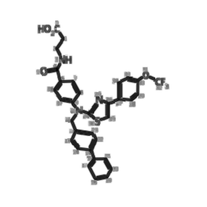 O=C(O)CCNC(=O)c1ccc(N(Cc2ccc(-c3ccccc3)cc2)c2nc(-c3ccc(OC(F)(F)F)cc3)cs2)cc1